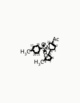 CC(=O)C1=CCC(c2ccc(C)o2)N(S(=O)(=O)c2ccc(C)cc2)C1